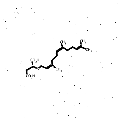 CC(C)=CCCC(C)=CCCC(C)=CCS[C@@H](CC(=O)O)C(=O)O